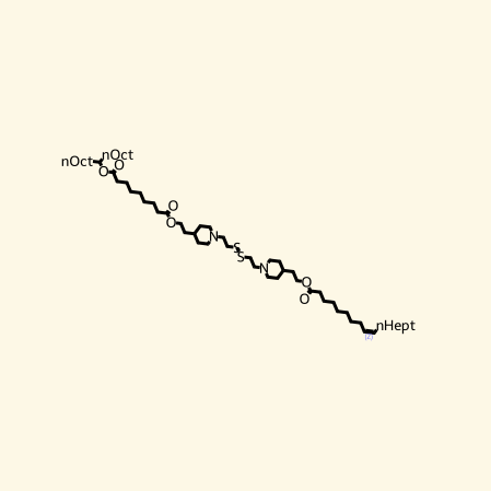 CCCCCCC/C=C\CCCCCCCC(=O)OCCC1CCN(CCSSCCN2CCC(CCOC(=O)CCCCCCCC(=O)OC(CCCCCCCC)CCCCCCCC)CC2)CC1